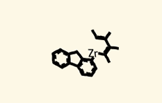 CC=C(C)C(C)=[C](C)[Zr][c]1cccc2c1Cc1ccccc1-2